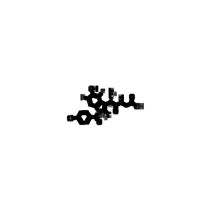 Cc1c([C@@H](C)C(=O)NCC(=O)O)c2c(F)c(O)c(F)cc2n1C(=O)c1ccc(Cl)cc1